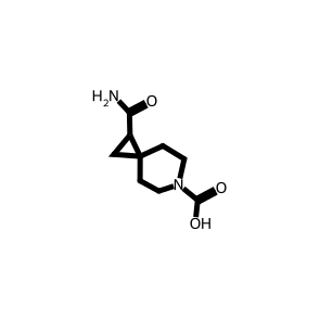 NC(=O)C1CC12CCN(C(=O)O)CC2